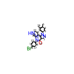 Cc1ccc(-n2ncc(C(=O)Nc3ccc(Br)cc3)c2C2CCNCC2)cc1C